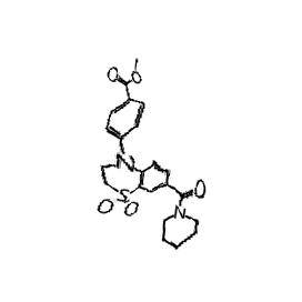 COC(=O)c1ccc(N2CCS(=O)(=O)c3cc(C(=O)N4CCCCC4)ccc32)cc1